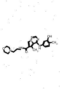 Cc1ccc(Nc2ncnn3cc(C(=O)NCCCN4CCOCC4)c(C)c23)cc1O